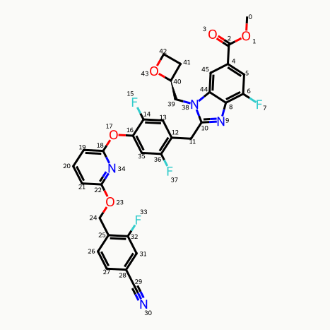 COC(=O)c1cc(F)c2nc(Cc3cc(F)c(Oc4cccc(OCc5ccc(C#N)cc5F)n4)cc3F)n(C[C@@H]3CCO3)c2c1